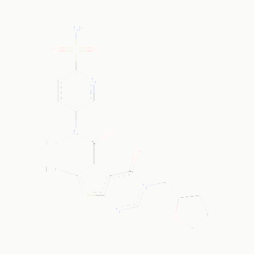 Cc1sc2ncn(CC3CCCO3)c(=O)c2c1C(=O)N(C)c1ccc(S(N)(=O)=O)nc1